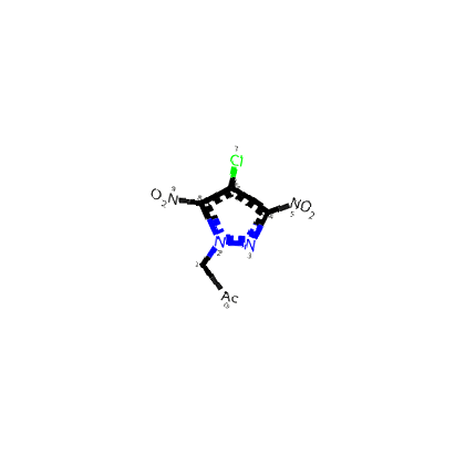 CC(=O)Cn1nc([N+](=O)[O-])c(Cl)c1[N+](=O)[O-]